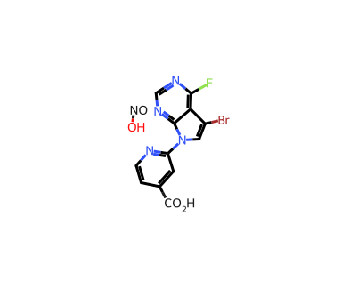 O=C(O)c1ccnc(-n2cc(Br)c3c(F)ncnc32)c1.O=NO